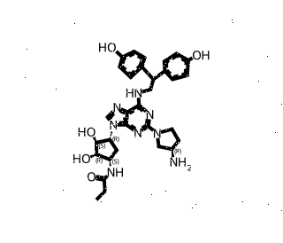 CCC(=O)N[C@H]1C[C@@H](n2cnc3c(NCC(c4ccc(O)cc4)c4ccc(O)cc4)nc(N4CC[C@@H](N)C4)nc32)[C@H](O)[C@@H]1O